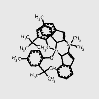 Cc1ccc([O][Zr]2([O]c3ccc(C)cc3C(C)(C)C)[CH]3C(=Cc4ccccc43)[Si](C)(C)C3=Cc4ccccc4[CH]32)c(C(C)(C)C)c1